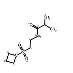 CC(C)C(=O)NCCS(=O)(=O)N1CCC1